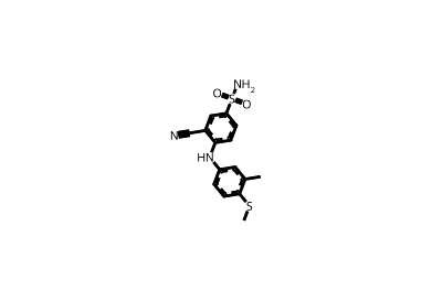 CSc1ccc(Nc2ccc(S(N)(=O)=O)cc2C#N)cc1C